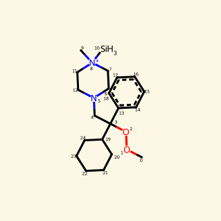 COOC(CN1CC[N+](C)([SiH3])CC1)(c1ccccc1)C1CCCCC1